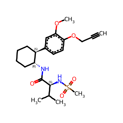 C#CCOc1ccc([C@@H]2CCCC[C@H]2NC(=O)[C@@H](NS(C)(=O)=O)C(C)C)cc1OC